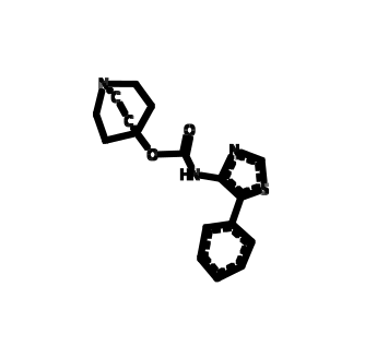 O=C(Nc1ncsc1-c1ccccc1)OC12CCN(CC1)CC2